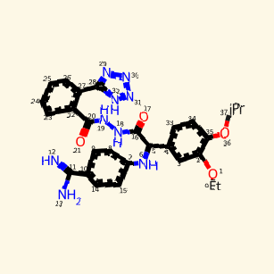 CCOc1cc(C(Nc2ccc(C(=N)N)cc2)C(=O)NNC(=O)c2ccccc2-c2nnn[nH]2)ccc1OC(C)C